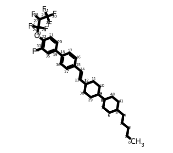 CCCCCC1CCC(C2CCC(/C=C/c3ccc(-c4ccc(OC(F)(F)C(F)C(F)(F)F)c(F)c4)cc3)CC2)CC1